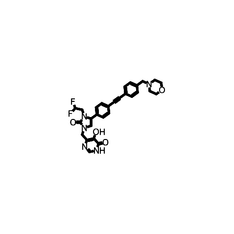 O=C1N(Cc2nc[nH]c(=O)c2O)CC(c2ccc(C#Cc3ccc(CN4CCOCC4)cc3)cc2)N1CC(F)F